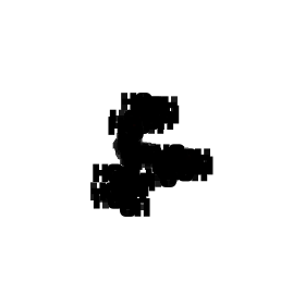 CCC[C@@H](C)[C@H]1CC[C@H]2[C@@H]3[C@H](OCCO[C@H]4OC(CO)[C@H](O[C@H](O)/C(O)=C(/O)[C@@H](O)CCO)C(O)C4O)C[C@@H]4C[C@H](OCCO[C@@H]5OC(CO)[C@@H](O[C@H]6OC(CO)[C@@H](O)C(O)C6O)C(O)C5O)CC[C@]4(C)[C@H]3C[C@H](OCCO[C@H](O)/C(O)=C(\O)[C@@H](CCO)O[C@H]3OC(CO)[C@@H](O)C(O)C3O)[C@]12C